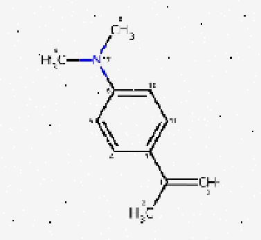 [CH]=C(C)c1ccc(N(C)C)cc1